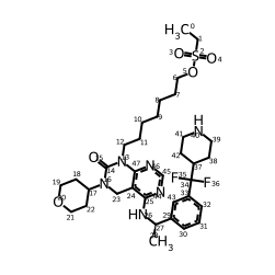 CCS(=O)(=O)OCCCCCCCN1C(=O)N(C2CCOCC2)Cc2c(N[C@H](C)c3cccc(C(F)(F)C4CCNCC4)c3)ncnc21